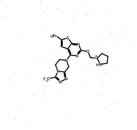 CCCc1cc2c(N3CCn4c(nnc4C(F)(F)F)C3)nc(OC[C@H]3CCCN3)nc2s1